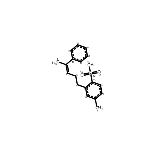 CC(=CCCc1cc(C)ccc1S(=O)(=O)O)c1ccccc1